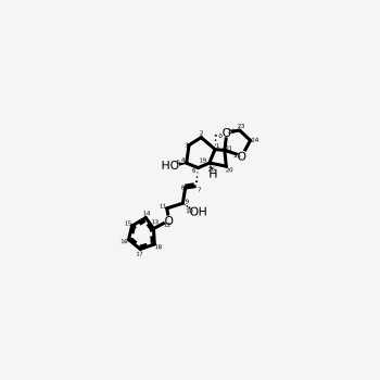 C[C@@]12CC[C@H](O)[C@@H](/C=C/[C@H](O)COc3ccccc3)[C@@H]1CC21OCCO1